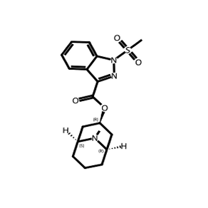 CN1[C@@H]2CCC[C@H]1C[C@@H](OC(=O)c1nn(S(C)(=O)=O)c3ccccc13)C2